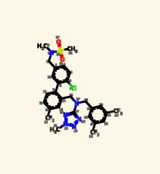 CN(Cc1ccc(Cl)c(-c2ccc(C(F)(F)F)cc2CN(Cc2cc(C(F)(F)F)cc(C(F)(F)F)c2)c2nnn(C)n2)c1)S(C)(=O)=O